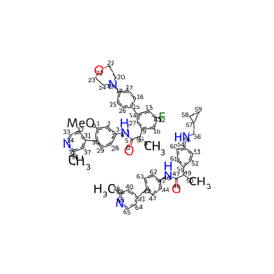 COc1cc(NC(=O)[C@@H](C)c2cc(F)cc(-c3ccc(N4CCOCC4)cc3)c2)ccc1-c1ccnc(C)c1.Cc1cc(-c2ccc(NC(=O)C(C)c3ccc(NCC4CC4)cc3)cc2)ccn1